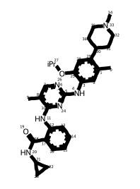 Cc1cc(Nc2ncc(C)c(Nc3ccccc3C(=O)NC3CC3)n2)c(OC(C)C)cc1C1CCN(C)CC1